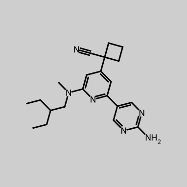 CCC(CC)CN(C)c1cc(C2(C#N)CCC2)cc(-c2cnc(N)nc2)n1